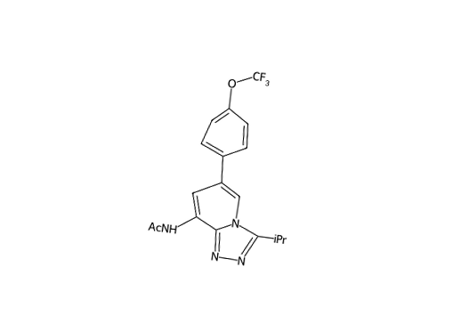 CC(=O)Nc1cc(-c2ccc(OC(F)(F)F)cc2)cn2c(C(C)C)nnc12